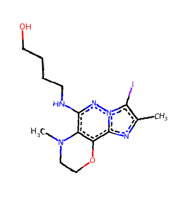 Cc1nc2c3c(c(NCCCCO)nn2c1I)N(C)CCO3